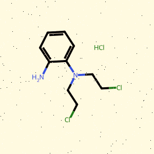 Cl.Nc1ccccc1N(CCCl)CCCl